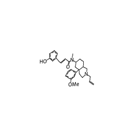 C=CCN1CCC2(c3cccc(OC)c3)CC(N(C)C(=O)/C=C/c3cccc(O)c3)CCC2C1